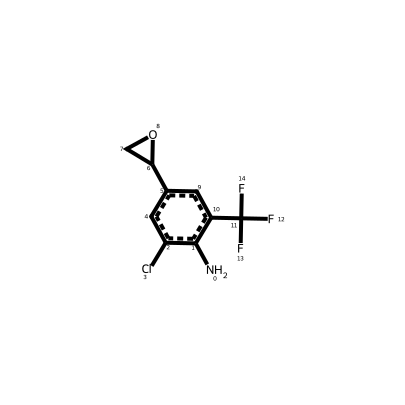 Nc1c(Cl)cc(C2CO2)cc1C(F)(F)F